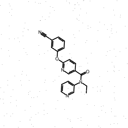 CCN(C(=O)c1ccc(Oc2cccc(C#N)c2)nc1)c1cccnc1